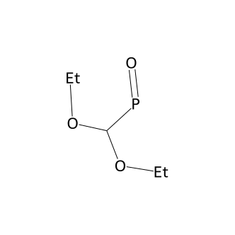 CCOC(OCC)P=O